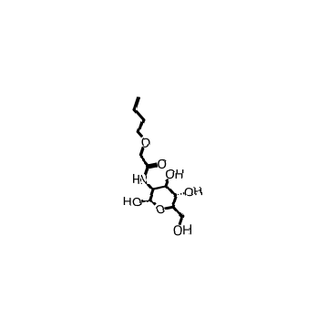 CCCCOCC(=O)NC1C(O)[C@H](O)C(CO)O[C@H]1O